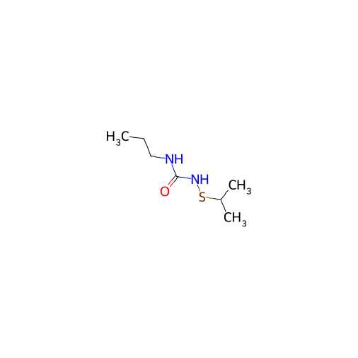 CCCNC(=O)NSC(C)C